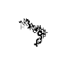 CCNc1nccc(-c2sc(NC(=O)Nc3ccc(CN4CCN(C(C)C)CC4)c(C(F)(F)F)c3)nc2C)n1